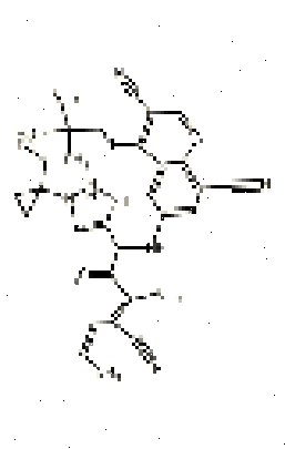 C=C(/C(C)=C(C#N)\C=C/C)[C@H](Nc1cc(C#N)c2ncc(C#N)c(NCC(C)(C)C)c2c1)C1=CN(C2(CF)CC2)NN1